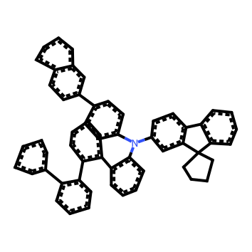 c1ccc(-c2ccccc2-c2ccccc2-c2ccccc2N(c2ccc(-c3ccc4ccccc4c3)cc2)c2ccc3c(c2)C2(CCCC2)c2ccccc2-3)cc1